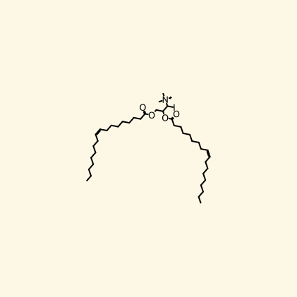 CCCCCCCC/C=C\CCCCCCCC(=O)OCC(OC(=O)CCCCCCC/C=C\CCCCCCCC)C(I)[N+](C)(C)C